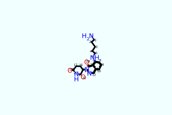 NCCCCCNc1cccc2cnn(C3CCC(=O)NC3=O)c(=O)c12